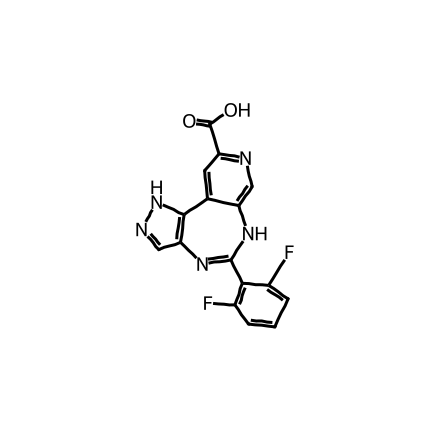 O=C(O)c1cc2c(cn1)NC(c1c(F)cccc1F)=Nc1cn[nH]c1-2